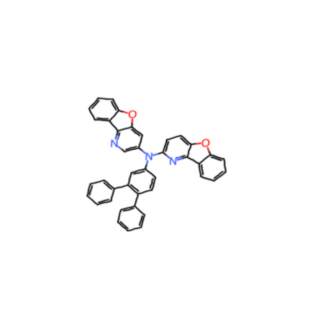 c1ccc(-c2ccc(N(c3cnc4c(c3)oc3ccccc34)c3ccc4oc5ccccc5c4n3)cc2-c2ccccc2)cc1